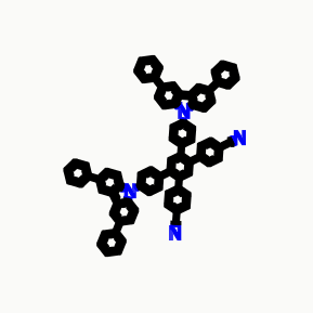 N#Cc1ccc(-c2cc(-c3ccc(C#N)cc3)c(-c3ccc(-n4c5ccc(-c6ccccc6)cc5c5cc(-c6ccccc6)ccc54)cc3)cc2-c2ccc(-n3c4ccc(-c5ccccc5)cc4c4cc(-c5ccccc5)ccc43)cc2)cc1